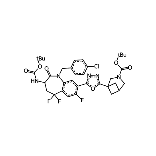 CC(C)(C)OC(=O)NC1CC(F)(F)c2cc(F)c(-c3nnc(C45CC(CN(C(=O)OC(C)(C)C)C4)C5)o3)cc2N(Cc2ccc(Cl)cc2)C1=O